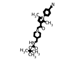 Cc1cc(C(=O)CN2CCC(CNC(=O)OC(C)(C)C)CC2)c(C)n1-c1ccc(C#N)cc1